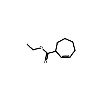 CCOC(=O)C1C=CCCCC1